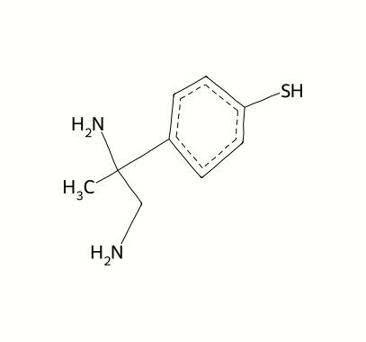 CC(N)(CN)c1ccc(S)cc1